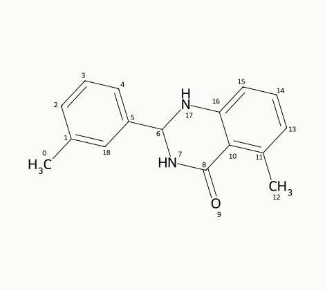 Cc1cccc(C2NC(=O)c3c(C)cccc3N2)c1